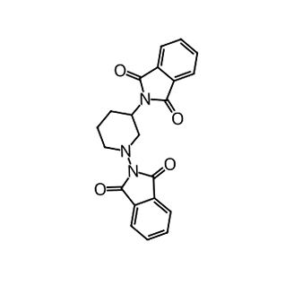 O=C1c2ccccc2C(=O)N1C1CCCN(N2C(=O)c3ccccc3C2=O)C1